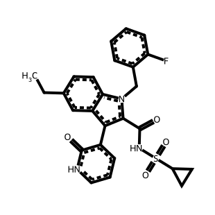 CCc1ccc2c(c1)c(-c1ccc[nH]c1=O)c(C(=O)NS(=O)(=O)C1CC1)n2Cc1ccccc1F